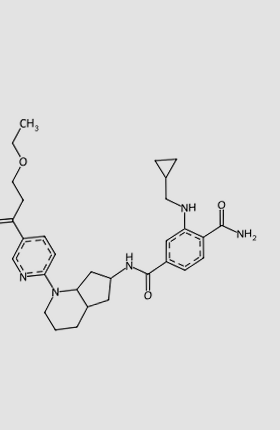 CCOCCC(=O)c1ccc(N2CCCC3CC(NC(=O)c4ccc(C(N)=O)c(NCC5CC5)c4)CC32)nc1